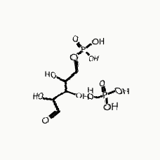 O=CC(O)C(O)C(O)COP(=O)(O)O.O=P(O)(O)O